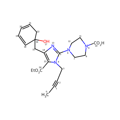 CC#CCn1c(N2CCN(C(=O)O)CC2)nc(CC2(O)C=CC=CC2)c1C(=O)OCC